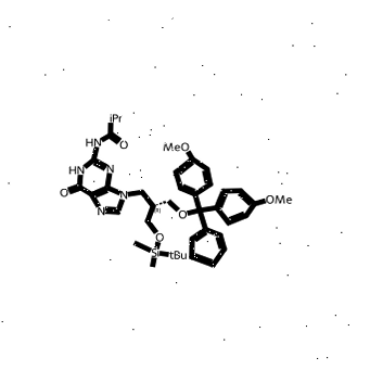 COc1ccc(C(OC[C@H](CO[Si](C)(C)C(C)(C)C)Cn2cnc3c(=O)[nH]c(NC(=O)C(C)C)nc32)(c2ccccc2)c2ccc(OC)cc2)cc1